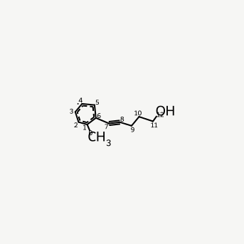 Cc1cc[c]cc1C#CCCCO